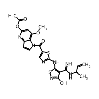 C=CC(C)NC(=N)c1c(O)nsc1Nc1ncc(C(=O)n2ccc3nc(OC(C)=O)cc(OC)c32)s1